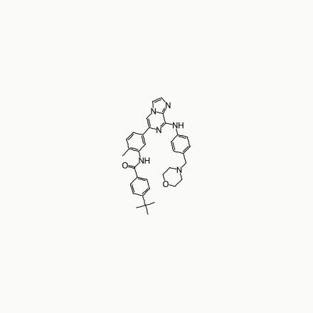 Cc1ccc(-c2cn3ccnc3c(Nc3ccc(CN4CCOCC4)cc3)n2)cc1NC(=O)c1ccc(C(C)(C)C)cc1